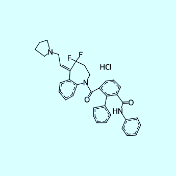 Cl.O=C(Nc1ccccc1)c1cccc(C(=O)N2CCC(F)(F)C(=CCN3CCCC3)c3ccccc32)c1-c1ccccc1